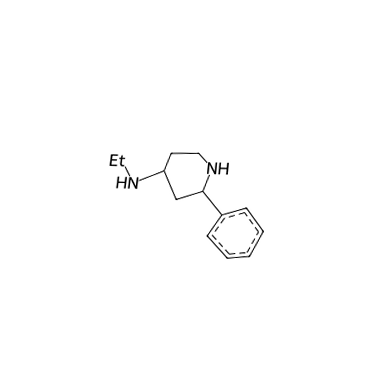 CCNC1CCNC(c2ccccc2)C1